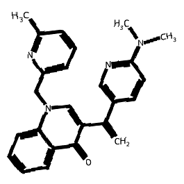 C=C(c1ccc(N(C)C)nc1)c1cn(Cc2cccc(C)n2)c2ccccc2c1=O